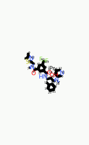 Cc1csc(CN(C)C(=O)c2cc(C(=O)N[C@@H](Cc3ccccc3)[C@H](O)CN(C)c3cncc(C(C)C)c3)cc(C(F)F)c2)n1